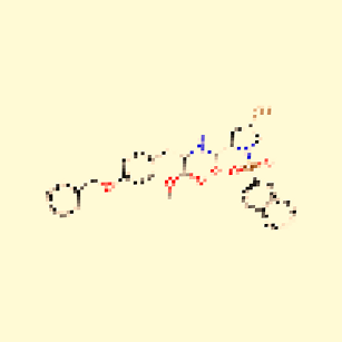 COC(=O)[C@H](Cc1ccc(OCc2ccccc2)cc1)NC(=O)[C@@H]1C[C@H](S)CN1S(=O)(=O)c1ccc2ccccc2c1